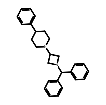 c1ccc(C2CCN(C3CN(C(c4ccccc4)c4ccccc4)C3)CC2)cc1